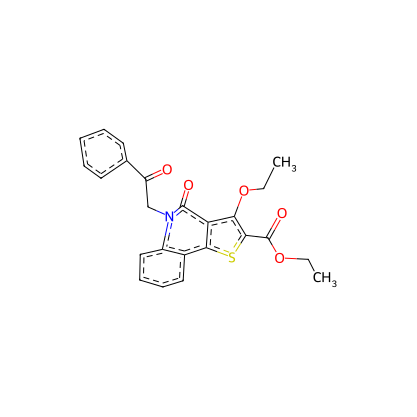 CCOC(=O)c1sc2c(c1OCC)c(=O)n(CC(=O)c1ccccc1)c1ccccc21